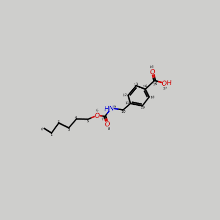 CCCCCCOC(=O)NCc1ccc(C(=O)O)cc1